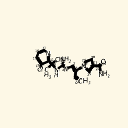 C=C/C(=C\N=C(/N)NC(C)(C)c1ncccc1Cl)n1ccc(C(N)=O)c1